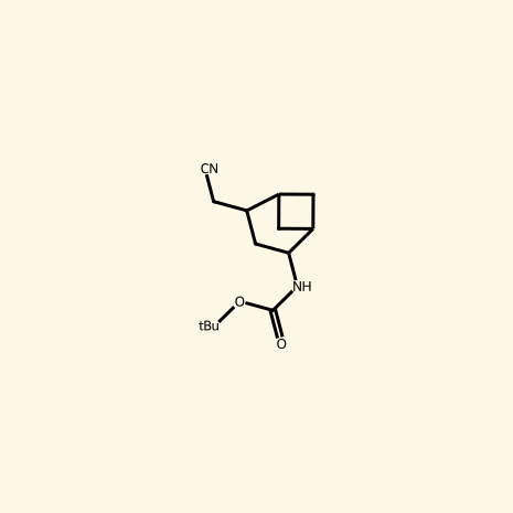 CC(C)(C)OC(=O)NC1CC(CC#N)C2CC1C2